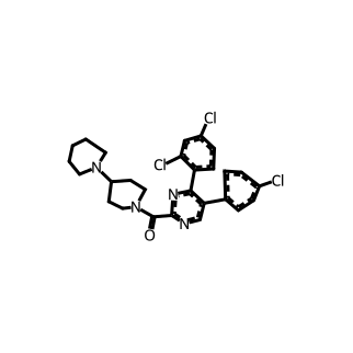 O=C(c1ncc(-c2ccc(Cl)cc2)c(-c2ccc(Cl)cc2Cl)n1)N1CCC(N2CCCCC2)CC1